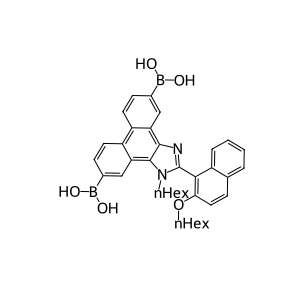 CCCCCCOc1ccc2ccccc2c1-c1nc2c3cc(B(O)O)ccc3c3ccc(B(O)O)cc3c2n1CCCCCC